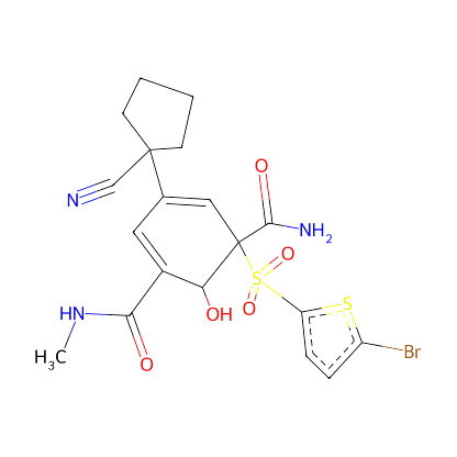 CNC(=O)C1=CC(C2(C#N)CCCC2)=CC(C(N)=O)(S(=O)(=O)c2ccc(Br)s2)C1O